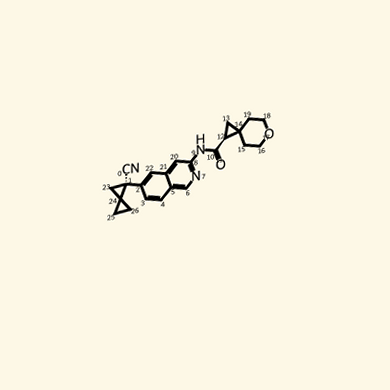 N#C[C@@]1(c2ccc3cnc(NC(=O)[C@H]4CC45CCOCC5)cc3c2)CC12CC2